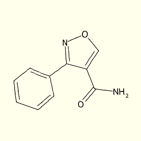 NC(=O)c1conc1-c1ccccc1